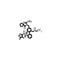 CCCCC1=NC2(CCCC2)C(=O)N1Cc1ccc(-c2ccccc2S(=O)(=O)Nc2noc(C)c2C)c(CNCC(F)(F)F)c1